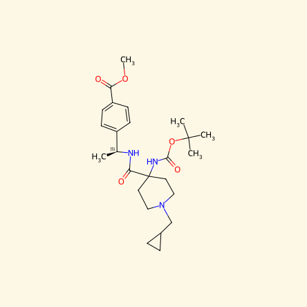 COC(=O)c1ccc([C@H](C)NC(=O)C2(NC(=O)OC(C)(C)C)CCN(CC3CC3)CC2)cc1